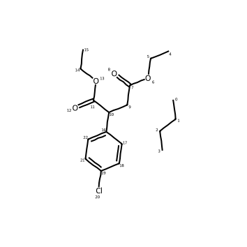 CCCC.CCOC(=O)CC(C(=O)OCC)c1ccc(Cl)cc1